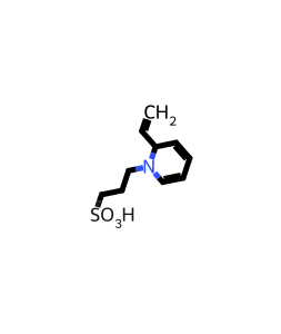 C=CC1C=CC=CN1CCCS(=O)(=O)O